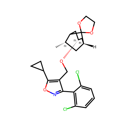 C[C@H]1C[C@@H]2C[C@H](OCc3c(-c4c(Cl)cccc4Cl)noc3C3CC3)CC1C21OCCO1